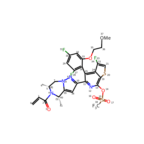 C=CC(=O)N1[C@H](C)Cn2nc(-c3nc(OS(=O)(=O)C(F)(F)F)c4scc(F)c4c3-c3c(F)cc(F)cc3OCCOC)cc2[C@@H]1C